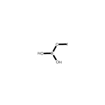 OB(O)OI